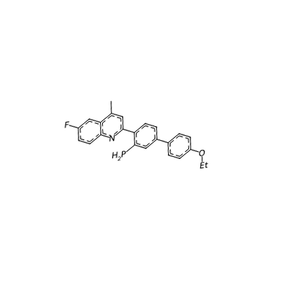 CCOc1ccc(-c2ccc(-c3cc(C)c4cc(F)ccc4n3)c(P)c2)cc1